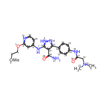 COCCOc1cc(Nc2[nH]nc(-c3ccc(NC(=O)CN(C)C)cc3)c2C(N)=O)ccn1